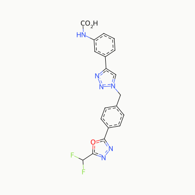 O=C(O)Nc1cccc(-c2cn(Cc3ccc(-c4nnc(C(F)F)o4)cc3)nn2)c1